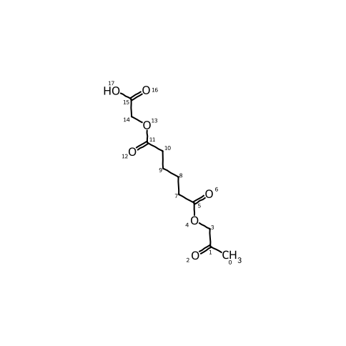 CC(=O)COC(=O)CCCCC(=O)OCC(=O)O